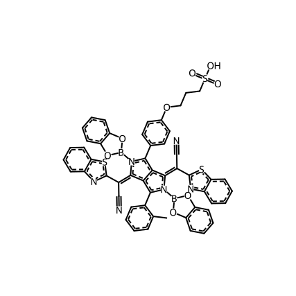 Cc1ccccc1-c1c2/c(=C(\C#N)c3nc4ccccc4s3)n(B3Oc4ccccc4O3)c(-c3ccc(OCCCS(=O)(=O)O)cc3)c2/c(=C(\C#N)c2nc3ccccc3s2)n1B1Oc2ccccc2O1